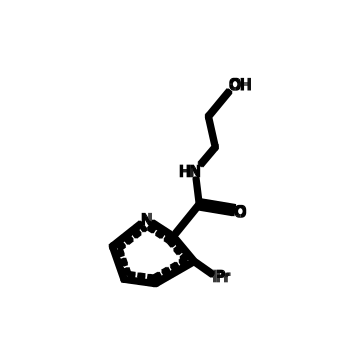 CC(C)c1cccnc1C(=O)NCCO